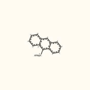 CCCCCCCc1c2ccccc2cc2ccccc12